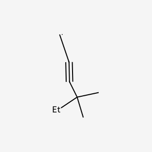 [CH2]C#CC(C)(C)CC